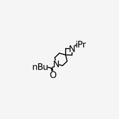 CCCCC(=O)N1CCC2(CC1)CN(C(C)C)C2